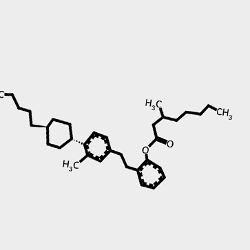 CCCCCC(C)CC(=O)Oc1ccccc1CCc1ccc([C@H]2CC[C@H](CCCCC)CC2)c(C)c1